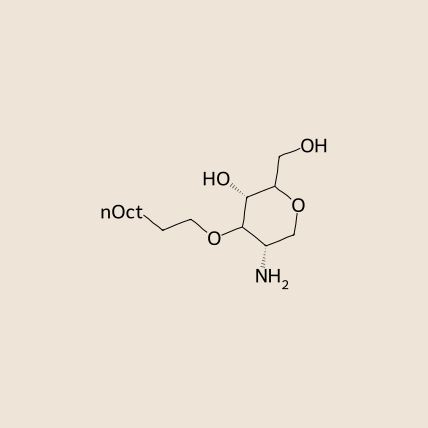 CCCCCCCCCCOC1[C@H](O)C(CO)OC[C@@H]1N